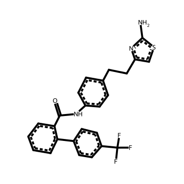 Nc1nc(CCc2ccc(NC(=O)c3ccccc3-c3ccc(C(F)(F)F)cc3)cc2)cs1